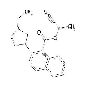 [CH2]CC1C[CH]C(c2ccc3ccccc3c2C(=O)OC(C)C#N)C1